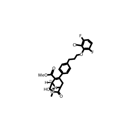 COC(=O)C1=C(c2ccc(CCCOc3c(F)ccc(F)c3Cl)cc2)CC2C(=O)N(C)C[C@H]1N2C(=O)O